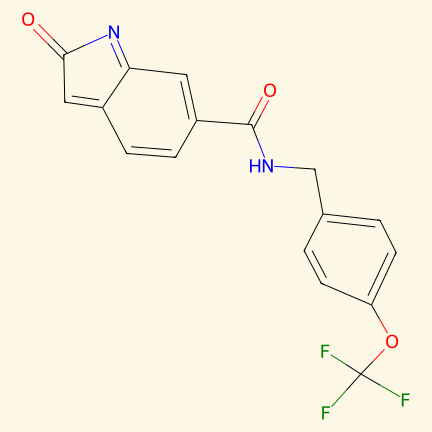 O=C1C=c2ccc(C(=O)NCc3ccc(OC(F)(F)F)cc3)cc2=N1